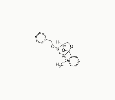 CO[C@@H]1C[C@H](OCc2ccccc2)[C@H]2COC1(c1ccccc1)O2